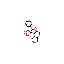 O=C(c1ccccc1)C1(c2cccc3ccccc23)COCO1